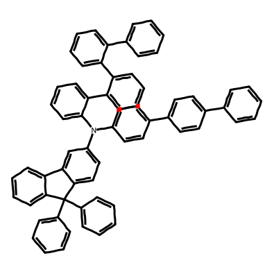 c1ccc(-c2ccc(-c3ccc(N(c4ccc5c(c4)-c4ccccc4C5(c4ccccc4)c4ccccc4)c4ccccc4-c4ccccc4-c4ccccc4-c4ccccc4)cc3)cc2)cc1